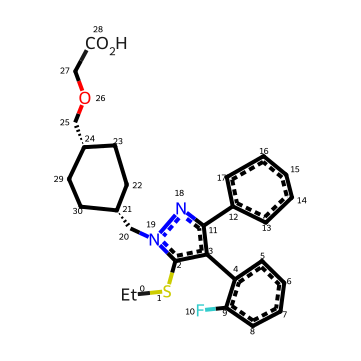 CCSc1c(-c2ccccc2F)c(-c2ccccc2)nn1C[C@H]1CC[C@@H](COCC(=O)O)CC1